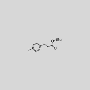 Cc1ccc(CCC(=O)OC(C)(C)C)cc1